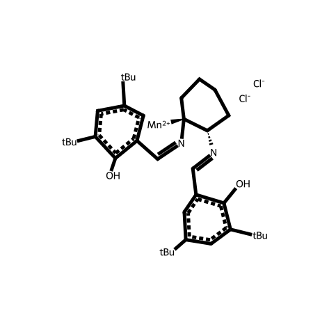 CC(C)(C)c1cc(C=N[C@H]2CCCC[C@@]2([Mn+2])N=Cc2cc(C(C)(C)C)cc(C(C)(C)C)c2O)c(O)c(C(C)(C)C)c1.[Cl-].[Cl-]